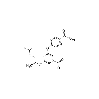 C[C@@H](COC(F)F)Oc1cc(Oc2cnc(C(=O)C#N)cn2)cc(C(=O)O)c1